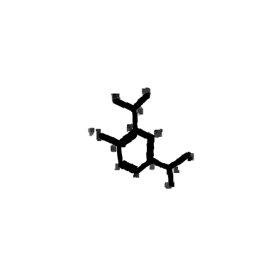 CC(C)c1ccc(I)c(C(C)C)c1